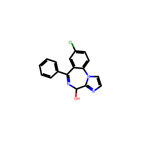 OC1N=C(c2ccccc2)c2cc(Cl)ccc2-n2ccnc21